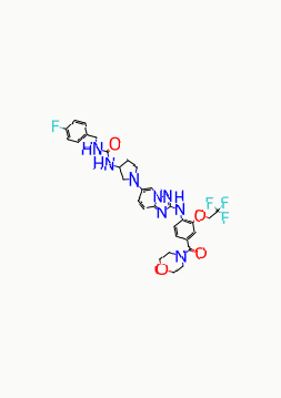 O=C(NCc1ccc(F)cc1)NC1CCN(c2ccc3nc(Nc4ccc(C(=O)N5CCOCC5)cc4OCC(F)(F)F)nn3c2)C1